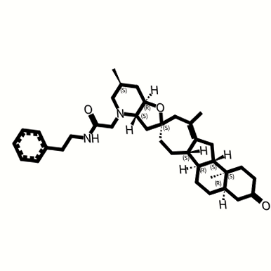 CC1=C2C[C@H]3[C@@H](CC[C@@H]4CC(=O)CC[C@@]43C)[C@@H]2CC[C@]2(C1)C[C@H]1[C@@H](C[C@H](C)CN1CC(=O)NCCc1ccccc1)O2